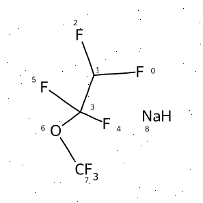 FC(F)C(F)(F)OC(F)(F)F.[NaH]